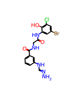 NN=CNc1cccc(C(=O)NCC(=O)Nc2cc(Br)cc(Cl)c2O)c1